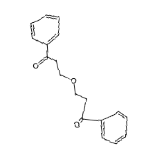 O=C(CCOCCC(=O)c1ccccc1)c1ccccc1